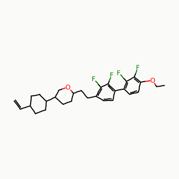 C=CC1CCC(C2CCC(CCc3ccc(-c4ccc(OCC)c(F)c4F)c(F)c3F)OC2)CC1